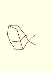 CC1(C)[C]2CC3CC(C2)CC1C3